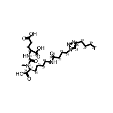 CN(C(=O)NC(CCC(=O)O)C(=O)O)[C@@H](CCCCNC(=O)CCCn1cc(CCCF)nn1)C(=O)O